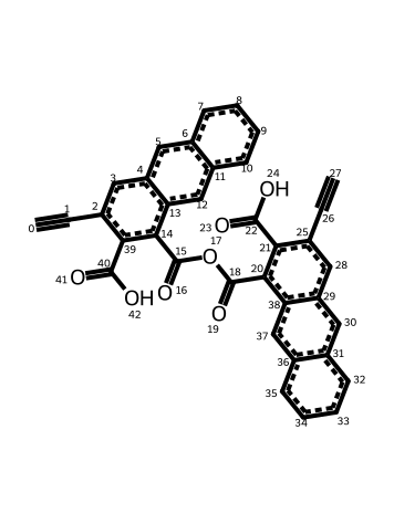 C#Cc1cc2cc3ccccc3cc2c(C(=O)OC(=O)c2c(C(=O)O)c(C#C)cc3cc4ccccc4cc23)c1C(=O)O